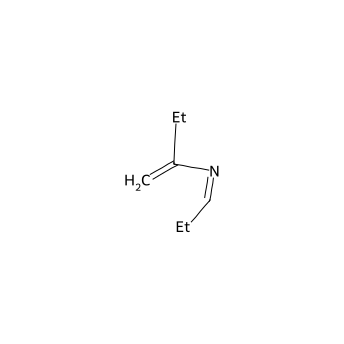 C=C(CC)/N=C\CC